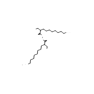 CCCCCCCCCCCCCCCCCCC(CS)C(=O)SSC(=O)C(CS)CCCCCCCCCCCCCCCCCC